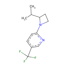 CC(C)C1CCN1c1ccc(C(F)(F)F)cn1